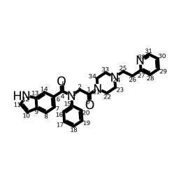 O=C(CN(C(=O)c1ccc2cc[nH]c2c1)c1ccccc1)N1CCN(CCc2ccccn2)CC1